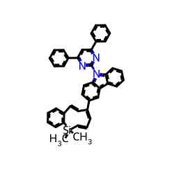 C[Si]1(C)/C=C/C=C(c2ccc3c(c2)c2ccccc2n3-c2nc(-c3ccccc3)cc(-c3ccccc3)n2)\C=C\c2ccccc21